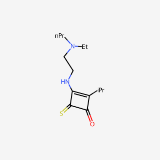 CCCN(CC)CCNc1c(C(C)C)c(=O)c1=S